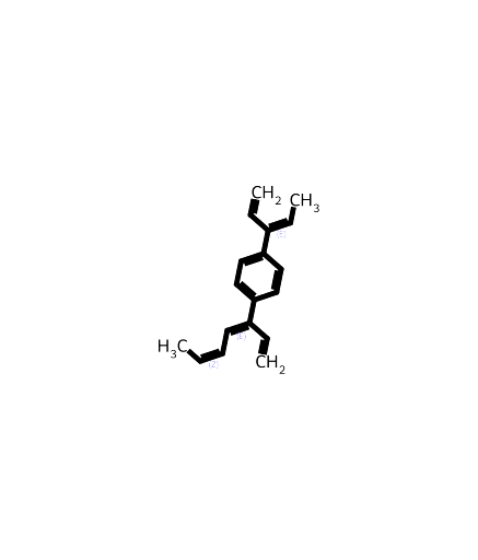 C=C/C(=C\C)c1ccc(/C(C=C)=C/C=C\C)cc1